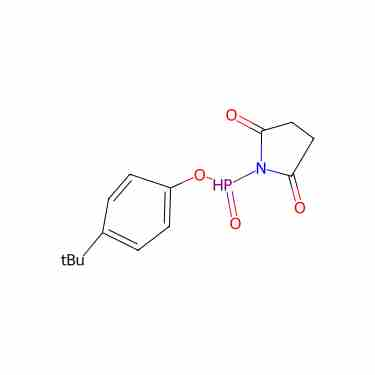 CC(C)(C)c1ccc(O[PH](=O)N2C(=O)CCC2=O)cc1